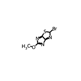 COC1=NC2=NC(Br)SC2=N1